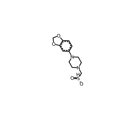 O=[SH](=O)CN1CCN(c2ccc3c(c2)OCO3)CC1